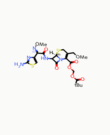 COCC1=C(C(=O)OCOC(=O)C(C)(C)C)N2C(=O)C(NC(=O)/C(=N\OC)c3csc(N)n3)[C@H]2SC1